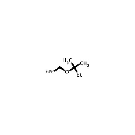 CCC[CH]OC(C)(C)CC